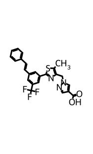 Cc1sc(-c2cc(C=Cc3ccccc3)cc(C(F)(F)F)c2)nc1Cn1cc(C(=O)O)cn1